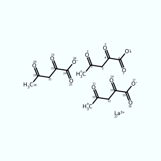 CC(=O)CC(=O)C(=O)[O-].CC(=O)CC(=O)C(=O)[O-].CC(=O)CC(=O)C(=O)[O-].[La+3]